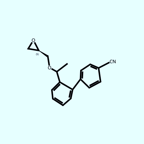 CC(OC[C@H]1CO1)c1ccccc1-c1ccc(C#N)cc1